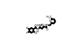 Cc1cccc(CNC(=O)c2cc(NC(=O)c3cc(F)c(F)cc3Cl)[nH]n2)n1